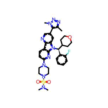 Cc1nnn(C)c1-c1cnc2c3ccc(N4CCN(S(=O)(=O)N(C)C)CC4)nc3n([C@H](c3ccccc3F)C3CCOCC3)c2c1